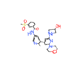 Cc1ncc(NC(=O)c2cccc(S(C)(=O)=O)c2)cc1-c1cc(N2CCOCC2)nc(N2CC(O)C2)c1